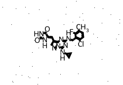 Cc1ccc(Cl)c(CNc2nc(NC3CC3)n3ncc(/C=C4\NC(=O)NC4=O)c3n2)c1F